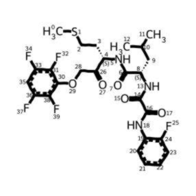 CSCC[C@H](NC(=O)[C@H](CC(C)C)NC(=O)C(=O)Nc1ccccc1F)C(=O)COc1c(F)c(F)cc(F)c1F